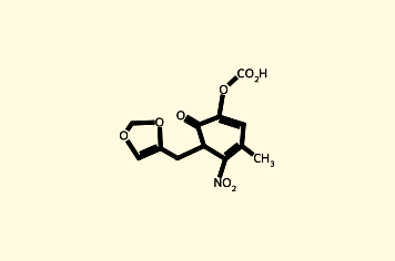 CC1=C([N+](=O)[O-])C(CC2=COCO2)C(=O)C(OC(=O)O)=C1